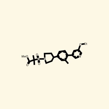 CCOc1cncc(-c2ccc(C3CCN(S(=O)(=O)C(C)(C)C(=O)OC)CC3)cc2C)c1